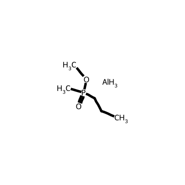 CCCP(C)(=O)OC.[AlH3]